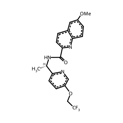 COc1ccc2nc(C(=O)N[C@@H](C)c3ccc(OCC(F)(F)F)cn3)ccc2c1